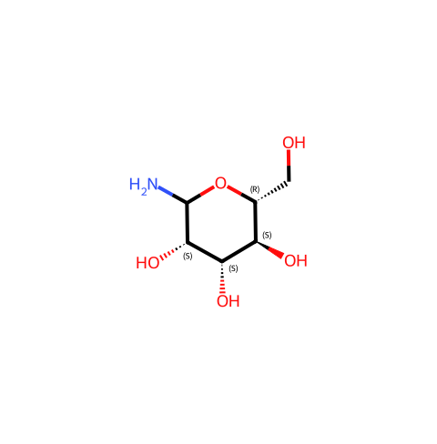 NC1O[C@H](CO)[C@@H](O)[C@H](O)[C@@H]1O